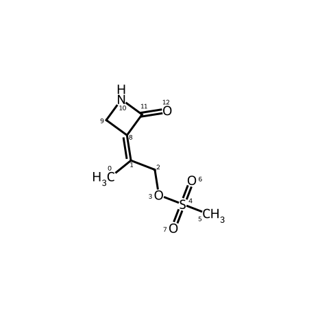 CC(COS(C)(=O)=O)=C1CNC1=O